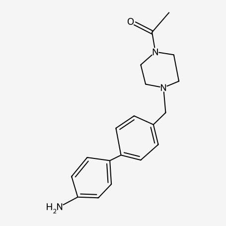 CC(=O)N1CCN(Cc2ccc(-c3ccc(N)cc3)cc2)CC1